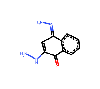 NN=C1C=C(NN)C(=O)c2ccccc21